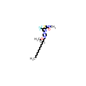 CCCCCCCCCCCCCCC(CN1CCN(c2cc(C(F)(F)F)c3scc(C(=O)NC)c3n2)CC1)OC(C)C